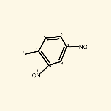 Cc1ccc(N=O)cc1N=O